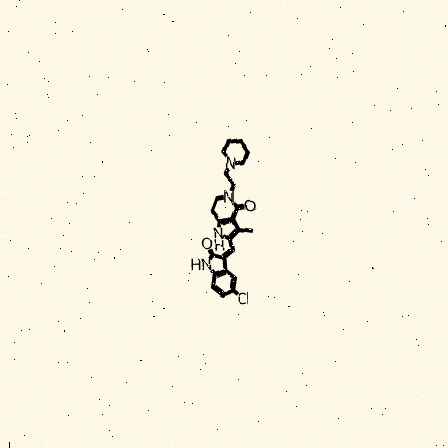 Cc1c(C=C2C(=O)Nc3ccc(Cl)cc32)[nH]c2c1C(=O)N(CCN1CCCCC1)CC2